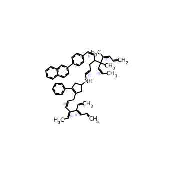 C=C/C=C(/C)C(C)(/C=C\C)C(/C=C\c1ccc(-c2ccc3ccccc3c2)cc1)C/C=C/NC1CC(C\C=C/C(=C\C)C(/C=C)=C/C=C)=C(c2ccccc2)C1